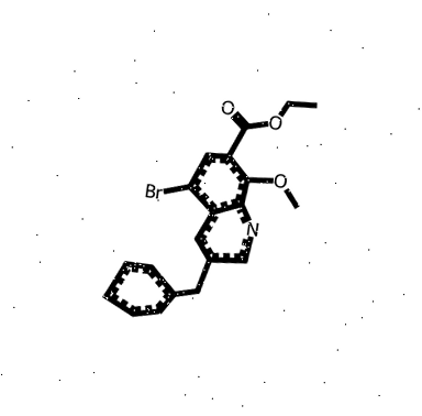 CCOC(=O)c1cc(Br)c2cc(Cc3ccccc3)cnc2c1OC